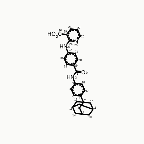 O=C(Nc1ccc(C23CC4CC(CC(C4)C2)C3)cc1)c1ccc(Nc2ncccc2C(=O)O)cc1